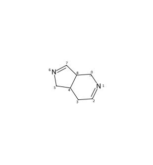 [C]1N=CCC2CN=CC12